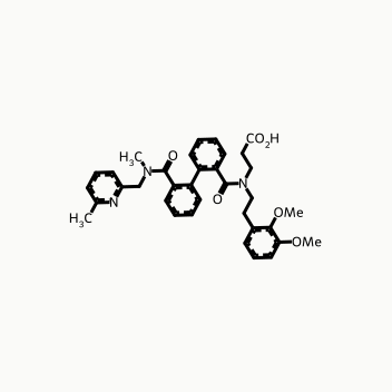 COc1cccc(CCN(CCC(=O)O)C(=O)c2ccccc2-c2ccccc2C(=O)N(C)Cc2cccc(C)n2)c1OC